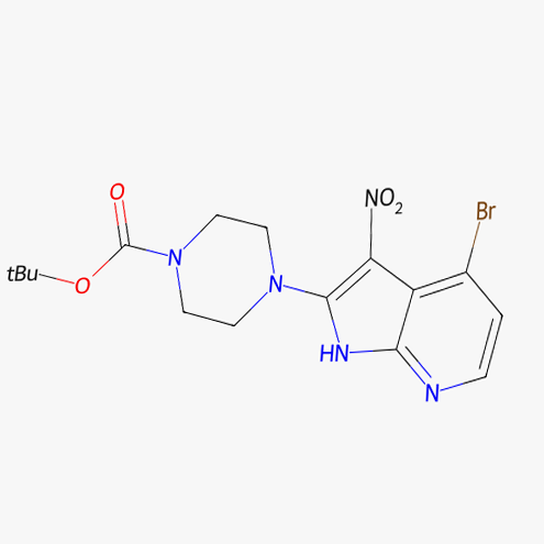 CC(C)(C)OC(=O)N1CCN(c2[nH]c3nccc(Br)c3c2[N+](=O)[O-])CC1